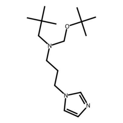 CC(C)(C)CN(CCCn1ccnc1)COC(C)(C)C